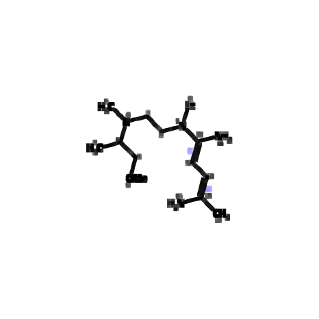 CCN(CCN(C)C(C)COC)/C(N)=C/C=C(/C)N